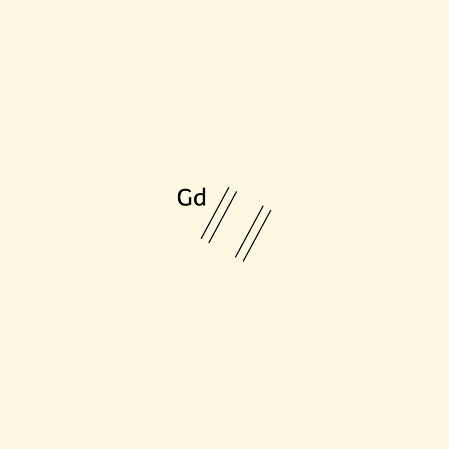 C=C.C=C.[Gd]